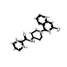 O=C(NC1CCN(c2nc(Cl)cc3ncccc23)CC1)c1ncccn1